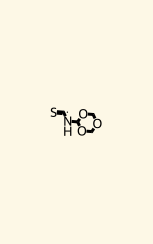 S=[C]NC1OCOCO1